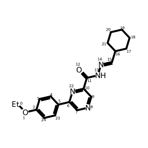 CCOc1ccc(-c2cncc(C(=O)N/N=C/C3CCCCC3)n2)cc1